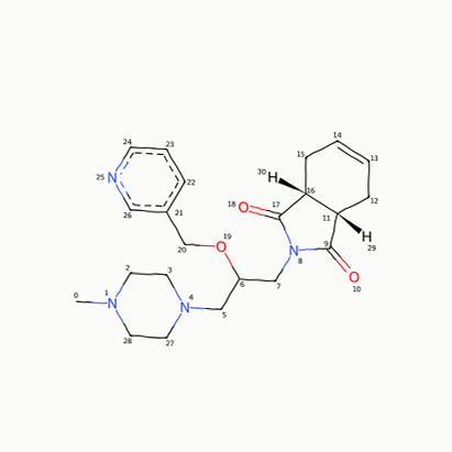 CN1CCN(CC(CN2C(=O)[C@H]3CC=CC[C@H]3C2=O)OCc2cccnc2)CC1